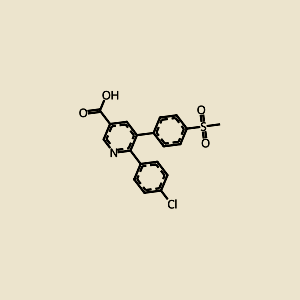 CS(=O)(=O)c1ccc(-c2cc(C(=O)O)cnc2-c2ccc(Cl)cc2)cc1